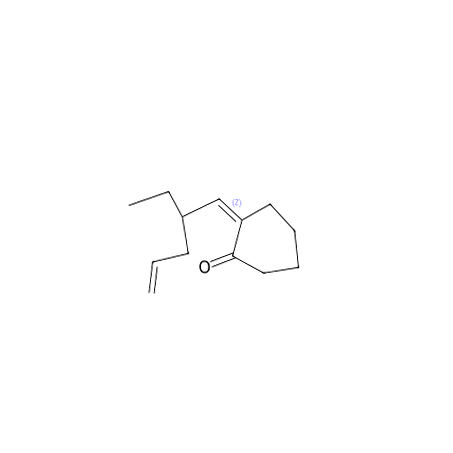 C=CCC(/C=C1/CCCCC1=O)CC